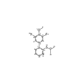 COc1c(F)cc(-c2cccnc2SC(C)C)cc1F